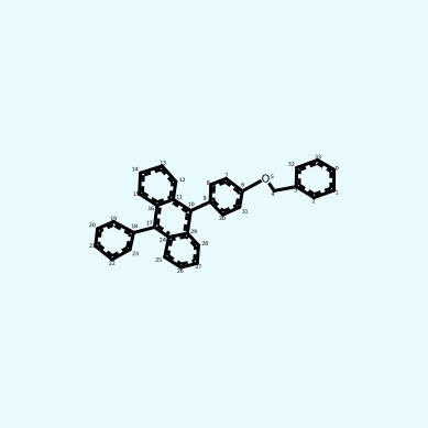 c1ccc(COc2ccc(-c3c4ccccc4c(-c4ccccc4)c4ccccc34)cc2)cc1